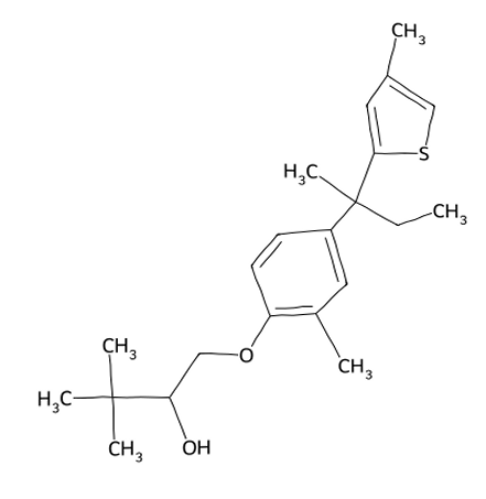 CCC(C)(c1ccc(OCC(O)C(C)(C)C)c(C)c1)c1cc(C)cs1